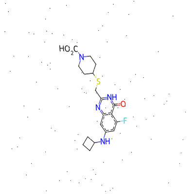 O=C(O)N1CCC(SCc2nc3cc(NC4CCC4)cc(F)c3c(=O)[nH]2)CC1